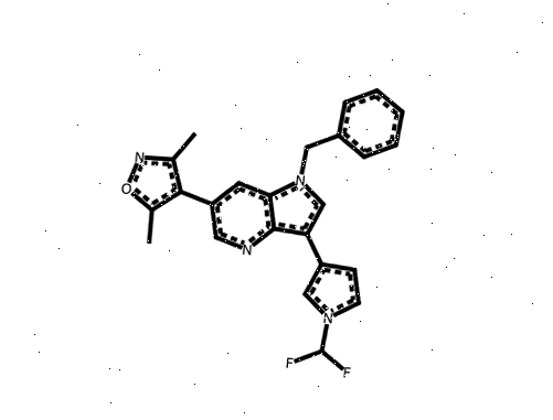 Cc1noc(C)c1-c1cnc2c(-c3ccn(C(F)F)c3)cn(Cc3ccccc3)c2c1